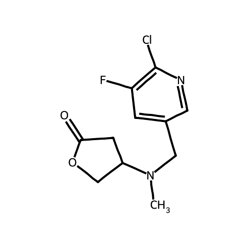 CN(Cc1cnc(Cl)c(F)c1)C1COC(=O)C1